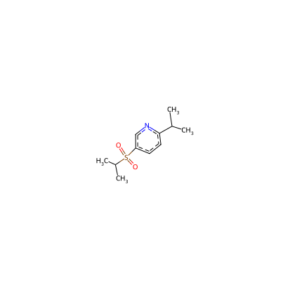 CC(C)c1ccc(S(=O)(=O)C(C)C)cn1